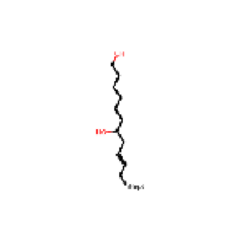 CCCCCCCCC=CCC(O)CCCCCCO